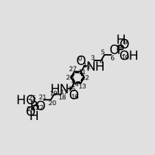 O=C(NCCCCO[PH](=O)O)c1ccc(C(=O)NCCCCO[PH](=O)O)cc1